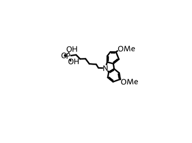 COc1ccc2c(c1)c1cc(OC)ccc1n2CCCCCCP(=O)(O)O